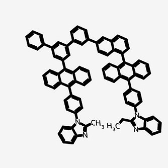 CCc1nc2ccccc2n1-c1ccc(-c2c3ccccc3c(-c3cccc4cc(-c5cccc(-c6cc(-c7ccccc7)cc(-c7c8ccccc8c(-c8ccc(-n9c(C)nc%10ccccc%109)cc8)c8ccccc78)c6)c5)ccc34)c3ccccc23)cc1